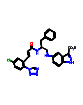 O=C(/C=C/c1cc(Cl)ccc1-n1cnnn1)N[C@H](CNc1ccc2[nH]nc(C(=O)O)c2c1)Cc1ccccc1